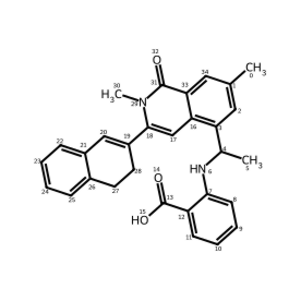 Cc1cc(C(C)Nc2ccccc2C(=O)O)c2cc(C3=Cc4ccccc4CC3)n(C)c(=O)c2c1